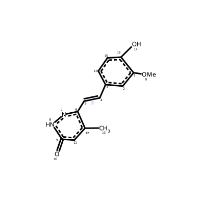 COc1cc(/C=C/c2n[nH]c(=O)cc2C)ccc1O